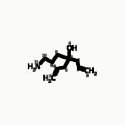 C=CCC(O)(CC=C)CCCN